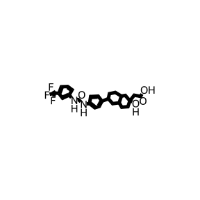 O=C(O)CC1(O)CCC2CC(c3ccc(NC(=O)Nc4cccc(C(F)(F)F)c4)cc3)CCC2C1